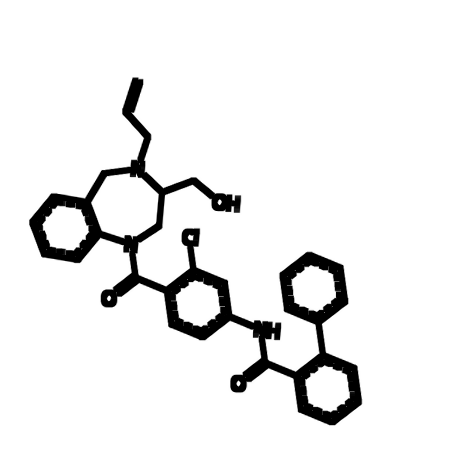 C=CCN1Cc2ccccc2N(C(=O)c2ccc(NC(=O)c3ccccc3-c3ccccc3)cc2Cl)CC1CO